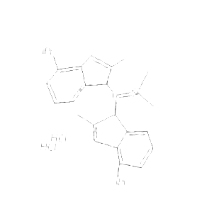 CC1=Cc2c(C(C)C)cccc2[CH]1[Ti]([CH]1C(C)=Cc2c(C(C)C)cccc21)=[Si](C)C.Cl.Cl